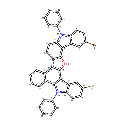 Brc1ccc2c(c1)c1c3oc4c(c5ccccc5c5c4c4cc(Br)ccc4n5-c4ccccc4)c3ccc1n2-c1ccccc1